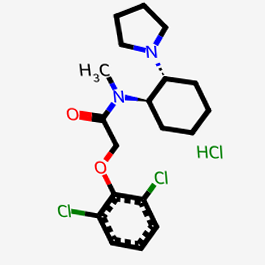 CN(C(=O)COc1c(Cl)cccc1Cl)[C@@H]1CCCC[C@H]1N1CCCC1.Cl